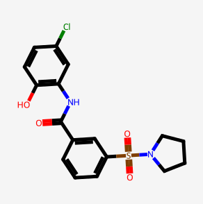 O=C(Nc1cc(Cl)ccc1O)c1cccc(S(=O)(=O)N2CCCC2)c1